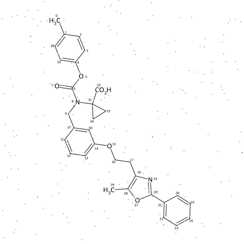 Cc1ccc(OC(=O)N(Cc2cccc(OCCc3nc(-c4ccccc4)oc3C)c2)C2(C(=O)O)CC2)cc1